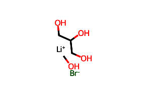 CO.OCC(O)CO.[Br-].[Li+]